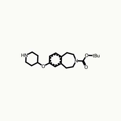 CC(C)(C)OC(=O)N1CCc2ccc(OC3CCNCC3)cc2CC1